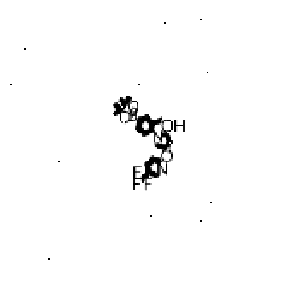 CC1(C)OB(c2ccc(N3CC[C@H](Oc4ccc(C(F)(F)F)cn4)C3)c(CO)c2)OC1(C)C